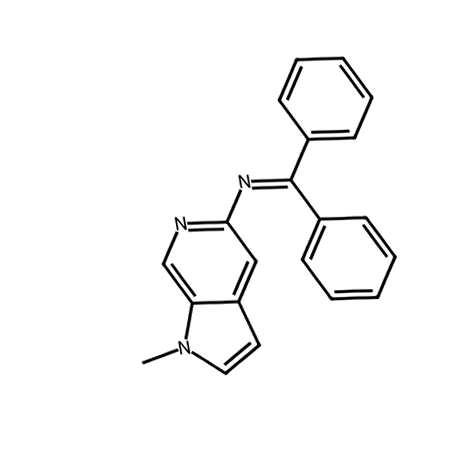 Cn1ccc2cc(N=C(c3ccccc3)c3ccccc3)ncc21